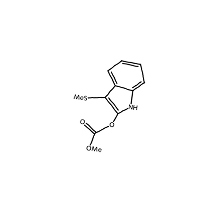 COC(=O)Oc1[nH]c2ccccc2c1SC